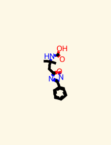 CC(C)(Cc1nc(-c2ccccc2)no1)NC(=O)O